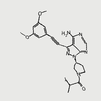 COc1cc(C#Cc2nn([C@H]3CCN(C(=O)C(C)I)C3)c3ncnc(N)c23)cc(OC)c1